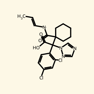 CC=C[N]C(=O)C1(C(C(=O)O)(c2ccc(Cl)cc2Cl)n2cncn2)CCCCC1